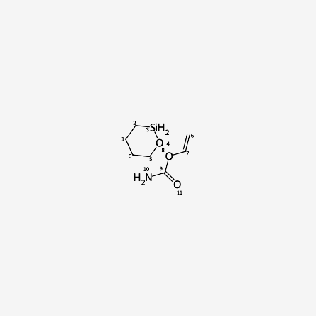 C1CC[SiH2]OC1.C=COC(N)=O